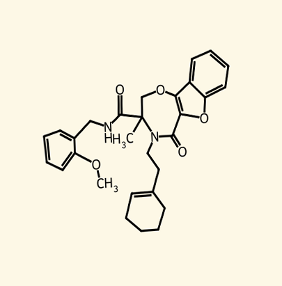 COc1ccccc1CNC(=O)C1(C)COc2c(oc3ccccc23)C(=O)N1CCC1=CCCCC1